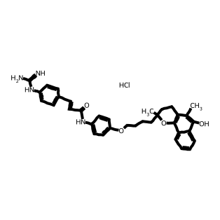 Cc1c2c(c3ccccc3c1O)OC(C)(CCCCOc1ccc(NC(=O)C=Cc3ccc(NC(=N)N)cc3)cc1)CC2.Cl